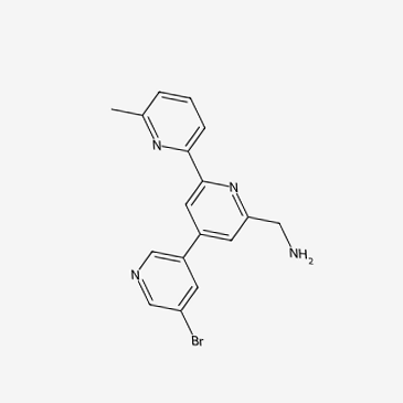 Cc1cccc(-c2cc(-c3cncc(Br)c3)cc(CN)n2)n1